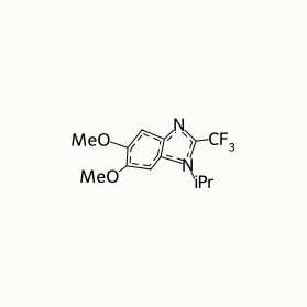 COc1cc2nc(C(F)(F)F)n(C(C)C)c2cc1OC